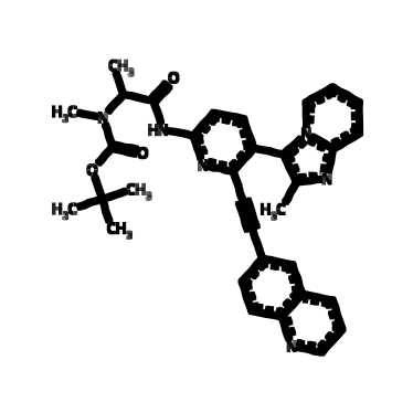 Cc1nc2ccccn2c1-c1ccc(NC(=O)C(C)N(C)C(=O)OC(C)(C)C)nc1C#Cc1ccc2ncccc2c1